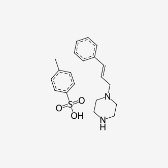 C(=Cc1ccccc1)CN1CCNCC1.Cc1ccc(S(=O)(=O)O)cc1